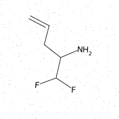 C=CCC(N)C(F)F